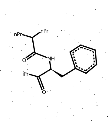 CCCC(CCC)C(=O)N[C@@H](Cc1ccccc1)C(=O)C(C)C